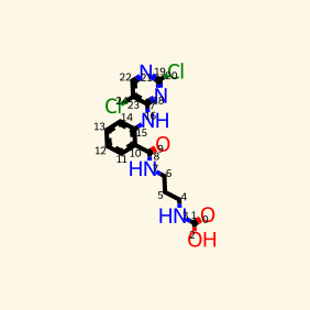 O=C(O)NCCCNC(=O)c1ccccc1Nc1nc(Cl)ncc1Cl